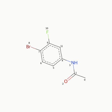 CC(=O)Nc1ccc(Br)c(F)c1